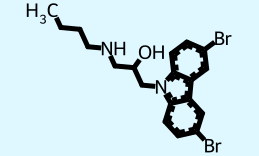 CCCCNCC(O)Cn1c2ccc(Br)cc2c2cc(Br)ccc21